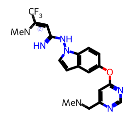 CNCc1cc(Oc2ccc3c(ccn3NC(=N)/C=C(\NC)C(F)(F)F)c2)ncn1